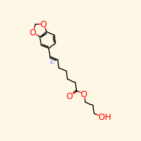 O=C(CCCC/C=C/c1ccc2c(c1)OCO2)OCCCO